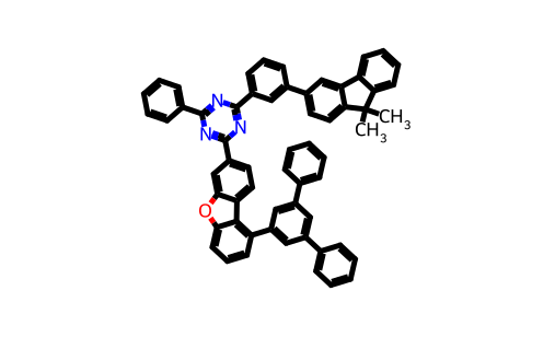 CC1(C)c2ccccc2-c2cc(-c3cccc(-c4nc(-c5ccccc5)nc(-c5ccc6c(c5)oc5cccc(-c7cc(-c8ccccc8)cc(-c8ccccc8)c7)c56)n4)c3)ccc21